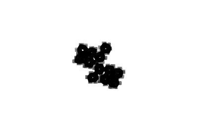 c1ccc(-c2ccc(N(c3cc(-c4ccccc4)cc(-c4cccc5c4-c4ccccc4C54c5ccccc5-c5ccccc54)c3)c3ccc4c(c3)C(c3ccccc3)(c3ccccc3)c3ccccc3-4)cc2)cc1